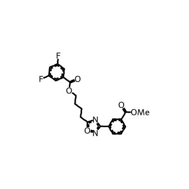 COC(=O)c1cccc(-c2noc(CCCCOC(=O)c3cc(F)cc(F)c3)n2)c1